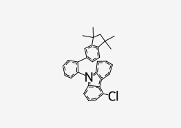 CC1(C)CC(C)(C)c2cc(-c3ccccc3-n3c4ccccc4c4c(Cl)cccc43)ccc21